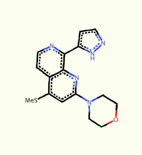 CSc1cc(N2CCOCC2)nc2c(-c3ccn[nH]3)nccc12